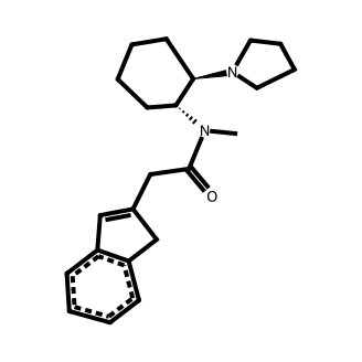 CN(C(=O)CC1=Cc2ccccc2C1)[C@@H]1CCCC[C@H]1N1CCCC1